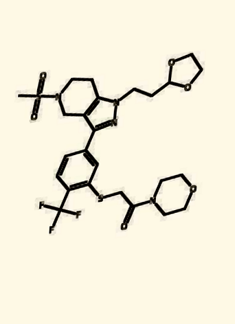 CS(=O)(=O)N1CCc2c(c(-c3ccc(C(F)(F)F)c(SCC(=O)N4CCOCC4)c3)nn2CCC2OCCO2)C1